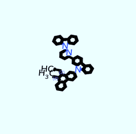 C#C/C=c1\c(=C/C)c2ccccc2c2ccc(-n3c4ccccc4c4ccc(-c5cccc(-n6c7ccccc7c7ccccc76)n5)cc43)cc12